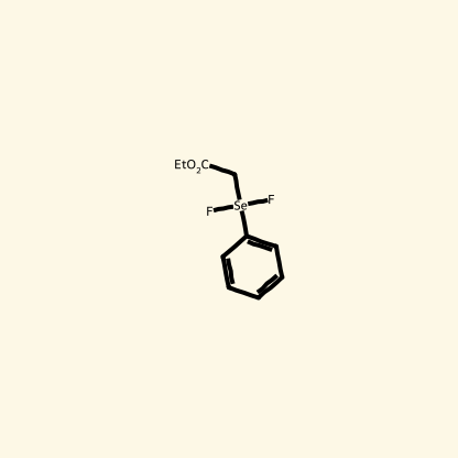 CCOC(=O)C[Se](F)(F)c1ccccc1